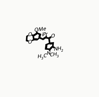 COc1cc(/C=C(/C(=O)c2ccc(N(C)C)c(N)c2)C(C)C)cc2c1OCCO2